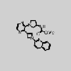 COC(=O)NC1CCN(c2nccnc2C2CN(c3ccc4ccccc4n3)C2)C1